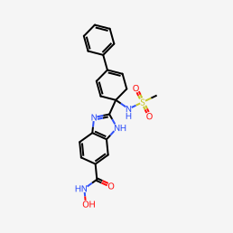 CS(=O)(=O)NC1(c2nc3ccc(C(=O)NO)cc3[nH]2)C=CC(c2ccccc2)=CC1